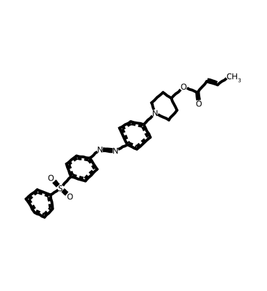 CC=CC(=O)OC1CCN(c2ccc(N=Nc3ccc(S(=O)(=O)c4ccccc4)cc3)cc2)CC1